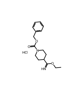 CCOC(=N)C1CCN(C(=O)OCc2ccccc2)CC1.Cl